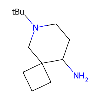 CC(C)(C)N1CCC(N)C2(CCC2)C1